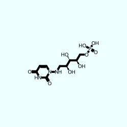 O=c1ccn(NC[C@H](O)[C@H](O)[C@H](O)COP(=O)(O)O)c(=O)[nH]1